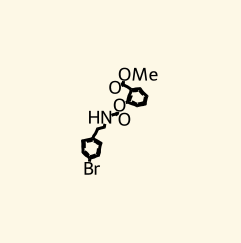 COC(=O)c1ccccc1OC(=O)NCCc1ccc(Br)cc1